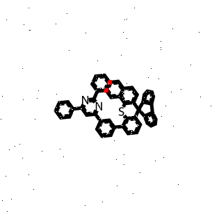 c1ccc(-c2cc(-c3cccc(-c4cccc5c4Sc4c(ccc6ccccc46)C54c5ccccc5-c5ccccc54)c3)nc(-c3ccccc3)n2)cc1